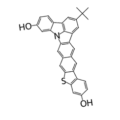 CC(C)(C)c1cc2c3ccc(O)cc3n3c4cc5cc6sc7cc(O)ccc7c6cc5cc4c(c1)c23